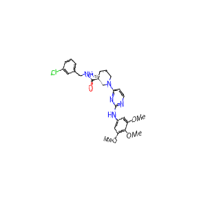 COc1cc(Nc2nccc(N3CCC[C@H](C(=O)NCc4cccc(Cl)c4)C3)n2)cc(OC)c1OC